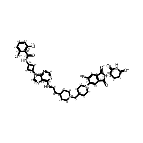 O=C1CC[C@H](N2C(=O)c3cc(F)c(N4CCC(CN5CCC(CCNc6ncnc7c6ncn7C6CC(NC(=O)c7c(Cl)cccc7Cl)C6)CC5)CC4)cc3C2=O)C(=O)N1